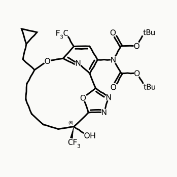 CC(C)(C)OC(=O)N(C(=O)OC(C)(C)C)c1cc(C(F)(F)F)c2nc1-c1nnc(o1)[C@@](O)(C(F)(F)F)CCCCCC(CC1CC1)O2